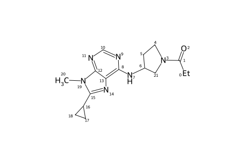 CCC(=O)N1CCC(Nc2ncnc3c2nc(C2CC2)n3C)C1